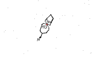 N#CC1CCCC(N2C3CCC2CC(O)C3)CCC1